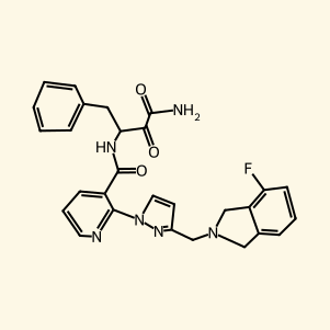 NC(=O)C(=O)C(Cc1ccccc1)NC(=O)c1cccnc1-n1ccc(CN2Cc3cccc(F)c3C2)n1